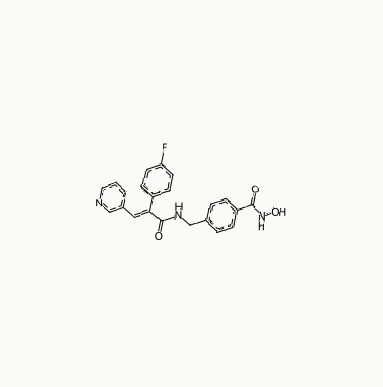 O=C(NCc1ccc(C(=O)NO)cc1)/C(=C/c1cccnc1)c1ccc(F)cc1